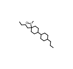 CCCCC1([S+](C)[O-])CCC(C2CCC(CCC)CC2)CC1